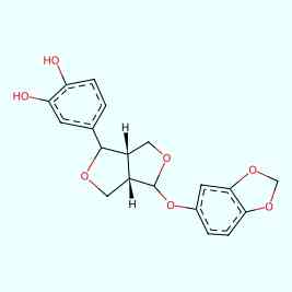 Oc1ccc(C2OC[C@H]3C(Oc4ccc5c(c4)OCO5)OC[C@@H]23)cc1O